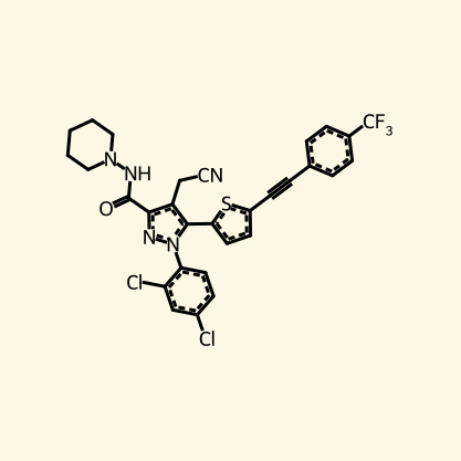 N#CCc1c(C(=O)NN2CCCCC2)nn(-c2ccc(Cl)cc2Cl)c1-c1ccc(C#Cc2ccc(C(F)(F)F)cc2)s1